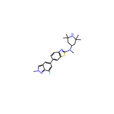 CN(c1nc2ccc(-c3cc(F)c4nn(C)cc4c3)cc2s1)C1CC(C)(C)NC(C)(C)C1